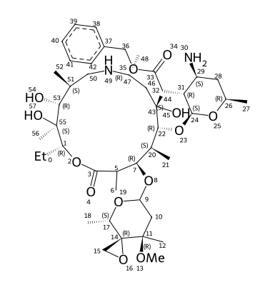 CC[C@H]1OC(=O)C(C)[C@H](OC2C[C@@](C)(OC)[C@@]3(CO3)[C@H](C)O2)[C@H](C)[C@@H](O[C@@H]2O[C@H](C)C[C@H](N)[C@H]2CC(=O)OCc2ccccc2)[C@@](C)(O)C[C@@H](C)NC[C@H](C)[C@@H](O)[C@]1(C)O